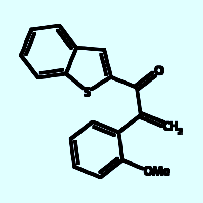 C=C(C(=O)c1cc2ccccc2s1)c1ccccc1OC